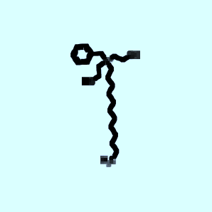 CCCCCCCCCCCC[N+](CCO)(CCO)Cc1ccccc1